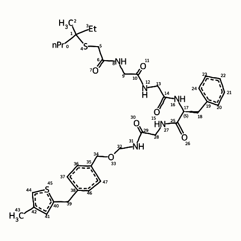 CCCC(C)(CC)SCC(=O)NCC(=O)NCC(=O)N[C@@H](Cc1ccccc1)C(=O)NCC(=O)NCOCc1ccc(Cc2cc(C)cs2)cc1